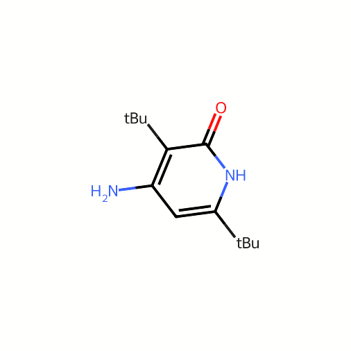 CC(C)(C)c1cc(N)c(C(C)(C)C)c(=O)[nH]1